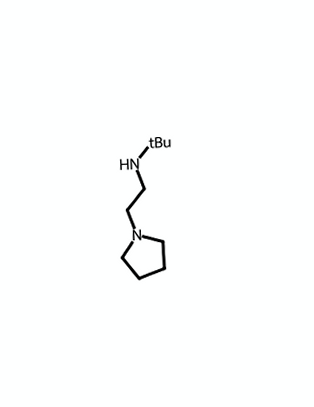 CC(C)(C)NCCN1CCCC1